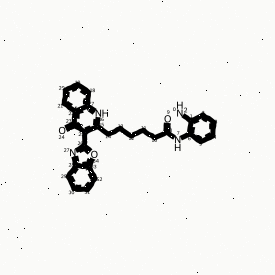 Nc1ccccc1NC(=O)CCCCCc1[nH]c2ccccc2c(=O)c1-c1nc2ccccc2o1